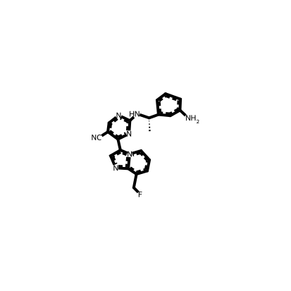 C[C@H](Nc1ncc(C#N)c(-c2cnc3c(CF)cccn23)n1)c1cccc(N)c1